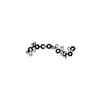 Cn1nc(C2CCC(=O)NC2=O)c2ccc(C3CCN(C4CCC(CNC(=O)[C@H]5CCC[C@H](Nc6ncc(F)c(-c7cccc(-n8ccccc8=O)c7)n6)C5)CC4)CC3)cc21